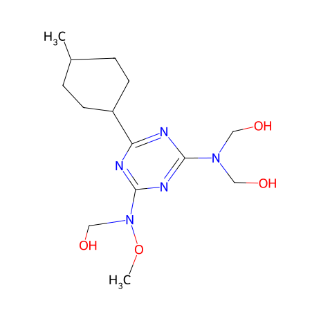 CON(CO)c1nc(C2CCC(C)CC2)nc(N(CO)CO)n1